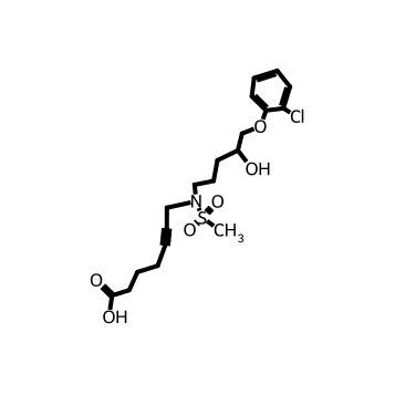 CS(=O)(=O)N(CC#CCCCC(=O)O)CCCC(O)COc1ccccc1Cl